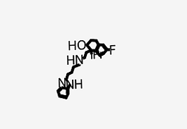 CC(C)C1(CCNCCCCc2nc3ccccc3[nH]2)c2ccc(F)cc2CCC1O